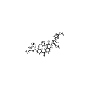 C[C@@H]1CC(c2ccc(Nc3ncc4cc(-c5nc(-c6cnn(C)n6)cn5C)c(=O)n(C5CCOC5)c4n3)cc2F)C[C@H](C)N1